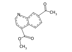 COC(=O)c1ccnc2cc(C(C)=O)ccc12